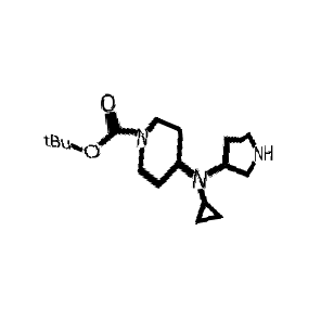 CC(C)(C)OC(=O)N1CCC(N(C2CC2)C2CCNC2)CC1